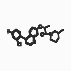 CC1CCCN(C(=O)C(C)Oc2ccc3c(-c4ccc(F)cc4Cl)ccnc3c2)C1